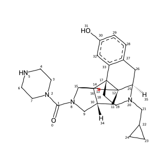 O=C(N1CCNCC1)N1C[C@H]2C[C@@]34CCC1C2[C@@]31CCN(CC2CC2)[C@@H]4Cc2ccc(O)cc21